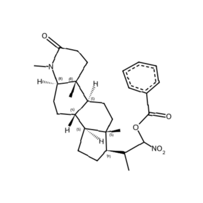 CC(C(OC(=O)c1ccccc1)[N+](=O)[O-])[C@H]1CC[C@H]2[C@@H]3CC[C@H]4N(C)C(=O)CC[C@]4(C)[C@H]3CC[C@]12C